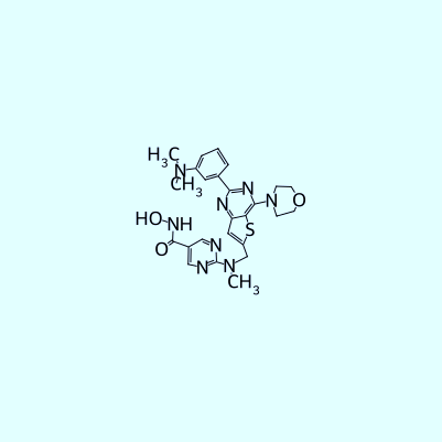 CN(C)c1cccc(-c2nc(N3CCOCC3)c3sc(CN(C)c4ncc(C(=O)NO)cn4)cc3n2)c1